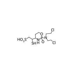 O=P1(N(CCCl)CCCl)NC(C(S)CS(=O)(=O)O)CCO1